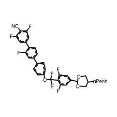 CCCCCC1COC(c2cc(F)c(C(F)(F)Oc3ccc(-c4ccc(-c5cc(F)c(C#N)c(F)c5)c(F)c4)cc3)c(F)c2)OC1